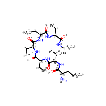 CC[C@H](C)[C@H](NC(=O)[C@H](CC(C)C)NC(=O)[C@H](CC(=O)O)NC(=O)[C@H](CC(C)C)NC(=O)[C@H](CC(C)C)NC(=O)[C@H](CC(C)C)NC(=O)[C@@H](N)CCC(=O)O)C(=O)O